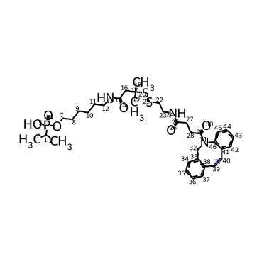 CC(C)P(=O)(O)OCCCCCCNC(=O)CC(C)(C)SSCCNC(=O)CCC(=O)N1Cc2ccccc2/C=C\c2ccccc21